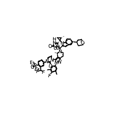 CCP(=O)(CC)c1ccc(-n2ccn(-c3c4c(nn3-c3cc(C)c(F)c(C)c3)CCN(C(=O)c3cc5cc(C6CCOCC6)ccc5n3[C@@]3(c5noc(=O)[nH]5)C[C@@H]3C)[C@H]4C)c2=O)cc1C(F)F